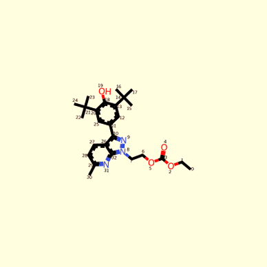 CCOC(=O)OCCn1nc(-c2cc(C(C)(C)C)c(O)c(C(C)(C)C)c2)c2ccc(C)nc21